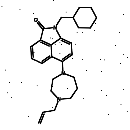 C=CCN1CCCN(c2ccc3c4c(cccc24)C(=O)N3CC2CCCCC2)CC1